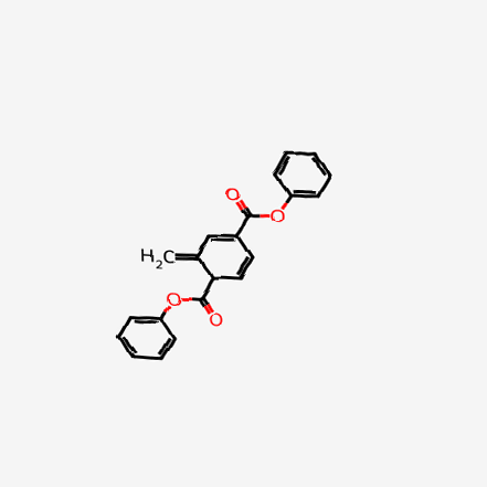 C=C1C=C(C(=O)Oc2ccccc2)C=CC1C(=O)Oc1ccccc1